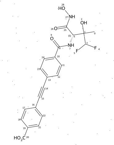 CC(O)(C(F)F)[C@H](NC(=O)c1ccc(C#Cc2ccc(C(=O)O)cc2)cc1)C(=O)NO